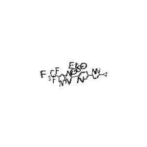 CCS(=O)(=O)c1cc(-c2ccc(C3CC3)nn2)cnc1-c1nc2cc(C(F)(F)C(F)(F)F)cnc2n1C